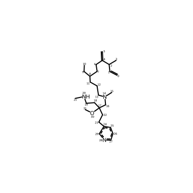 C=CC(C)C(=C)CCC(CC)CCCN(C)CC(CCNC)(CCc1cccnc1)OC